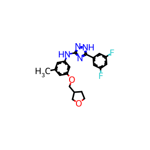 Cc1cc(Nc2n[nH]c(-c3cc(F)cc(F)c3)n2)cc(OCC2CCOC2)c1